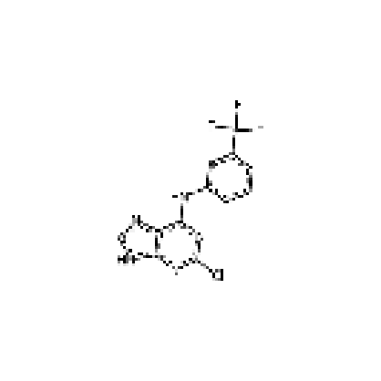 FC(F)(F)c1cccc(Nc2nc(Cl)nc3[nH]cnc23)c1